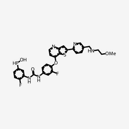 COCCNCc1ccc(-c2cc3nccc(Oc4ccc(NC(=O)Nc5cc(PO)ccc5F)cc4F)c3s2)nc1